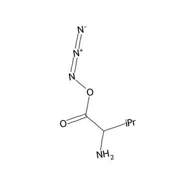 CC(C)C(N)C(=O)ON=[N+]=[N-]